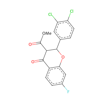 COC(=O)C1C(=O)c2ccc(F)cc2OC1c1ccc(Cl)c(Cl)c1